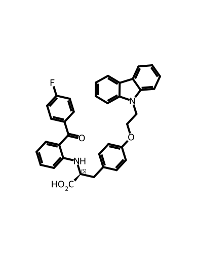 O=C(c1ccc(F)cc1)c1ccccc1N[C@@H](Cc1ccc(OCCn2c3ccccc3c3ccccc32)cc1)C(=O)O